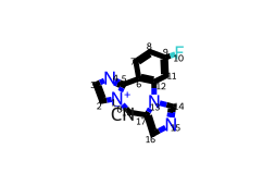 N#C[N+]12C=CN=C1c1ccc(F)cc1-n1cncc1C2